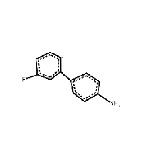 Nc1ccc(-c2[c]ccc(F)c2)cc1